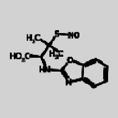 CC(C)(SN=O)[C@@H](Nc1nc2ccccc2o1)C(=O)O